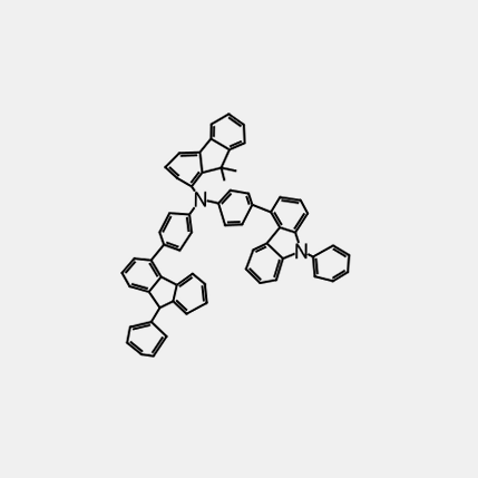 CC1(C)c2ccccc2-c2cccc(N(c3ccc(-c4cccc5c4-c4ccccc4C5c4ccccc4)cc3)c3ccc(-c4cccc5c4c4ccccc4n5-c4ccccc4)cc3)c21